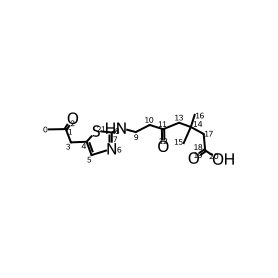 CC(=O)Cc1cnc(NCCC(=O)CC(C)(C)CC(=O)O)s1